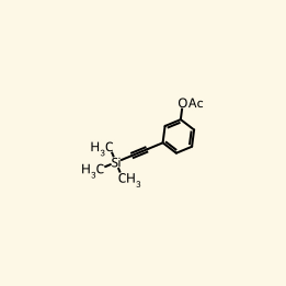 CC(=O)Oc1cccc(C#C[Si](C)(C)C)c1